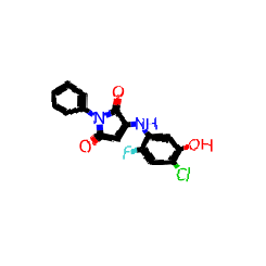 O=C1C=C(Nc2cc(O)c(Cl)cc2F)C(=O)N1c1ccccc1